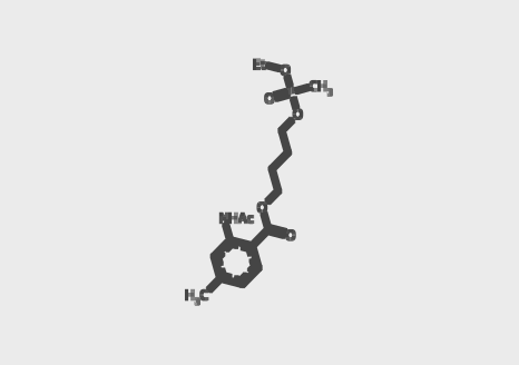 CCOP(C)(=O)OCCCCOC(=O)c1ccc(C)cc1NC(C)=O